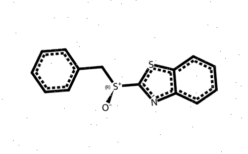 [O-][S@@+](Cc1ccccc1)c1nc2ccccc2s1